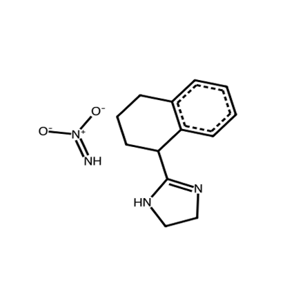 N=[N+]([O-])[O-].c1ccc2c(c1)CCCC2C1=NCCN1